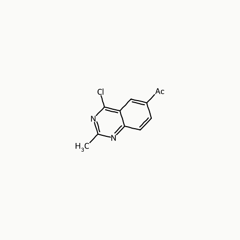 CC(=O)c1ccc2nc(C)nc(Cl)c2c1